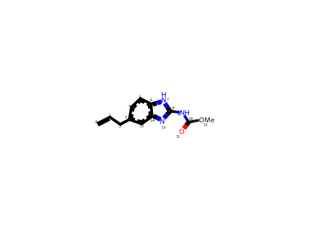 C=CCc1ccc2[nH]c(NC(=O)OC)nc2c1